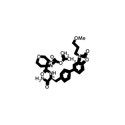 C=C(C)OC(=O)NC1(C(=O)N[C@@H](Cc2ccc(-c3ccc4oc(=O)n(CCCOC)c4c3)cc2)C(N)=O)CCOCC1